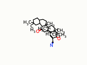 CC1(C)CCC2CC[C@]3(C)C(C(=O)C[C@@H]4[C@@]5(C)C=C(C#N)C(=O)C(C)(C)[C@@H]5CC[C@]43C)C2C1